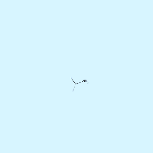 C[C@@H](N)I